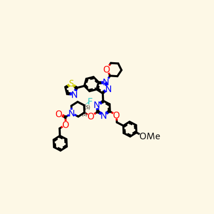 COc1ccc(COc2cc(-c3nn(C4CCCCO4)c4ccc(-c5nccs5)cc34)nc(O[C@H]3CN(C(=O)OCc4ccccc4)CC[C@@H]3F)n2)cc1